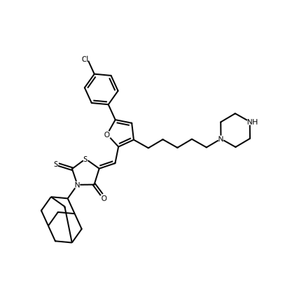 O=C1/C(=C/c2oc(-c3ccc(Cl)cc3)cc2CCCCCN2CCNCC2)SC(=S)N1C1C2CC3CC(C2)CC1C3